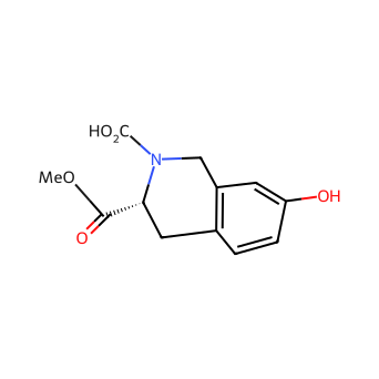 COC(=O)[C@H]1Cc2ccc(O)cc2CN1C(=O)O